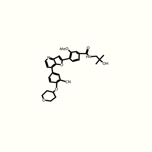 COc1cc(C(=O)NCC(C)(C)O)ccc1-c1cc2nccc(-c3ccc(OC4CCOCC4)c(C#N)c3)c2o1